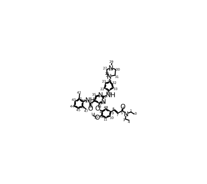 CCN(CC)C(=O)/C=C/c1ccc(OC)c(Oc2nc(Nc3ccc(N4CCN(C)CC4)cc3)ncc2C(=O)Nc2c(C)cccc2C)c1